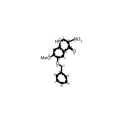 COc1cc2[nH]cc([N+](=O)[O-])c(=O)c2cc1OCc1ccccc1